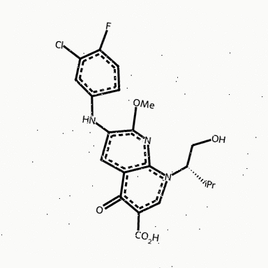 COc1nc2c(cc1Nc1ccc(F)c(Cl)c1)c(=O)c(C(=O)O)cn2[C@H](CO)C(C)C